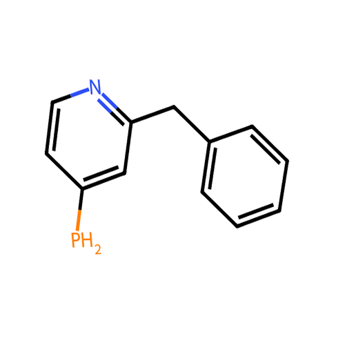 Pc1ccnc(Cc2ccccc2)c1